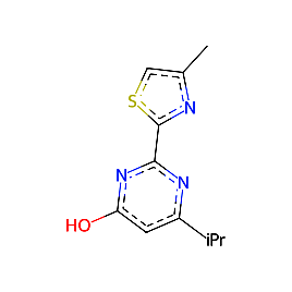 Cc1csc(-c2nc(O)cc(C(C)C)n2)n1